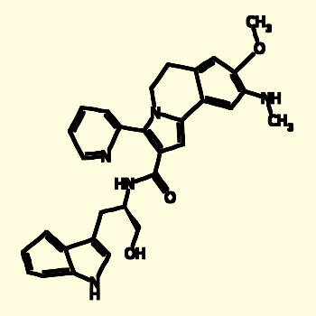 CNc1cc2c(cc1OC)CCn1c-2cc(C(=O)N[C@@H](CO)Cc2c[nH]c3ccccc23)c1-c1ccccn1